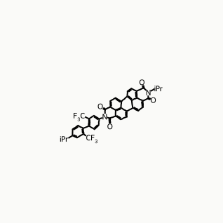 CC(C)c1ccc(-c2ccc(N3C(=O)c4ccc5c6ccc7c8c(ccc(c9ccc(c4c59)C3=O)c86)C(=O)N(C(C)C)C7=O)cc2C(F)(F)F)c(C(F)(F)F)c1